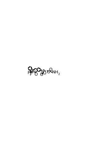 NCC(=O)OC[C@H]1CN(c2ccc3cc(-c4ccccc4C(F)(F)F)[nH]c(=O)c3c2)C(=O)O1